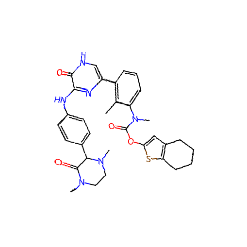 Cc1c(-c2c[nH]c(=O)c(Nc3ccc(C4C(=O)N(C)CCN4C)cc3)n2)cccc1N(C)C(=O)Oc1cc2c(s1)CCCC2